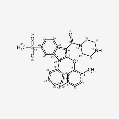 Cc1ccc(F)cc1Oc1c(C(=O)N2CCNCC2)c2ccc(S(C)(=O)=O)cc2n1-c1ccccc1